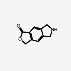 O=C1OCc2cc3c(cc21)CNC3